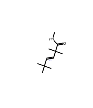 CNC(=O)C(C)(C)/C=C/C(C)(C)C